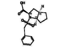 O=C(O)[C@H]1C[C@H]2CCC[C@H]2N1S(=O)(=O)Cc1ccccc1